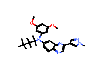 COc1cc(OC)cc(N(c2ccc3ncc(-c4cnn(C)c4)nc3c2)C(C)(C)C(C)(C)C(C)(C)C)c1